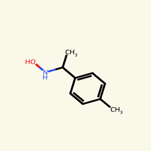 Cc1ccc(C(C)NO)cc1